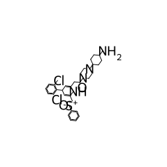 NC1CCC(N2CCN(C(=O)CC3=CC(c4c(Cl)cccc4Cl)C=C(C[S+]([O-])c4ccccc4)N3)CC2)CC1